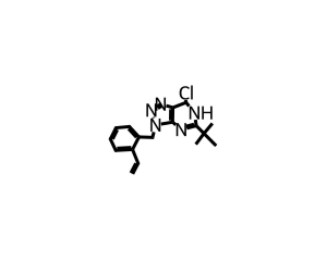 C=Cc1ccccc1Cn1nnc2c1N=C(C(C)(C)C)NC2Cl